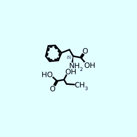 CCC(O)C(=O)O.N[C@@H](Cc1ccccc1)C(=O)O